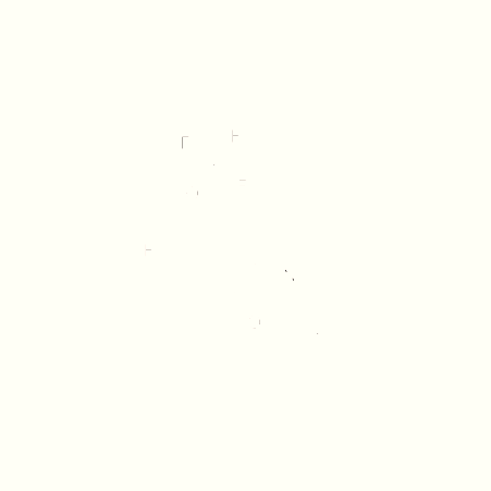 CC(C)(C)c1nc2cc(OC(F)(F)F)c(F)cc2o1